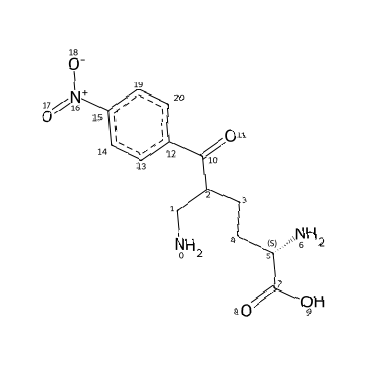 NCC(CC[C@H](N)C(=O)O)C(=O)c1ccc([N+](=O)[O-])cc1